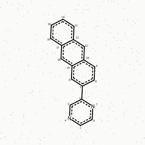 [c]1c(-c2cnccn2)ccc2cc3ccccc3cc12